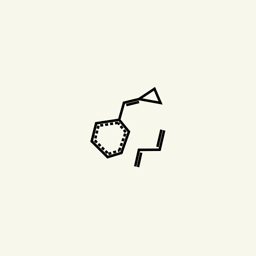 C(=C1CC1)c1ccccc1.C=CC=C